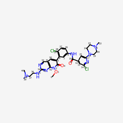 COn1c(=O)c(-c2cc(NC(=O)c3cc(Cl)nc(N4CCN(C)CC4)c3)ccc2Cl)cc2cnc(NCCN(C)C)nc21